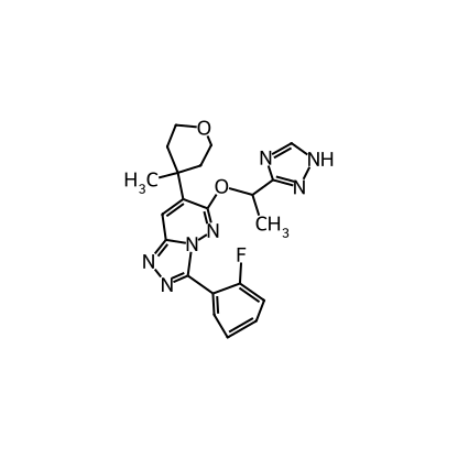 CC(Oc1nn2c(-c3ccccc3F)nnc2cc1C1(C)CCOCC1)c1nc[nH]n1